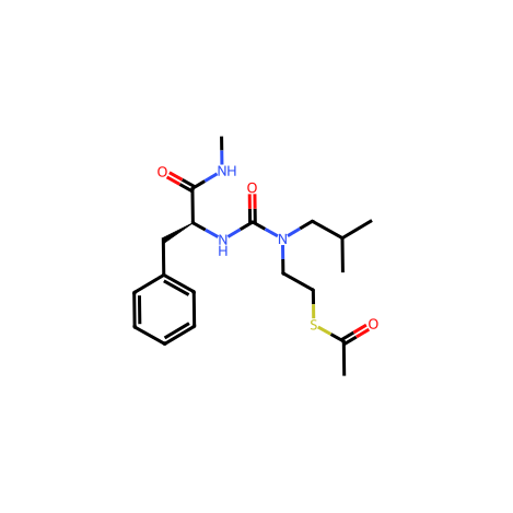 CNC(=O)[C@H](Cc1ccccc1)NC(=O)N(CCSC(C)=O)CC(C)C